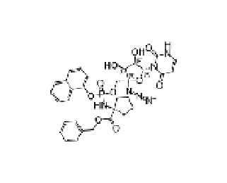 [N-]=[N+]=N[C@]1(COP(=O)(NC2(C(=O)OCc3ccccc3)CCCC2)Oc2cccc3ccccc23)O[C@@H](n2c(=O)cc[nH]c2=O)[C@H](O)[C@@H]1O